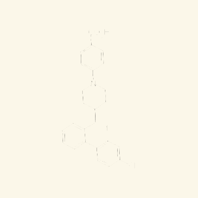 O=C(O)c1ccc(N2CCC([C@H](I)c3ccccc3-c3ccc(Cl)cc3)CC2)cc1